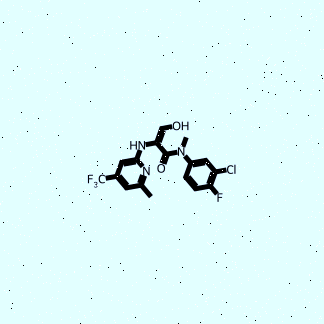 Cc1cc(C(F)(F)F)cc(NC(=CO)C(=O)N(C)c2ccc(F)c(Cl)c2)n1